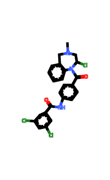 CN1Cc2ccccc2N(C(=O)c2ccc(NC(=O)c3cc(Cl)cc(Cl)c3)cc2)C(Cl)C1